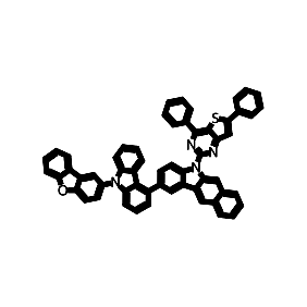 c1ccc(-c2cc3nc(-n4c5ccc(-c6cccc7c6c6ccccc6n7-c6ccc7oc8ccccc8c7c6)cc5c5cc6ccccc6cc54)nc(-c4ccccc4)c3s2)cc1